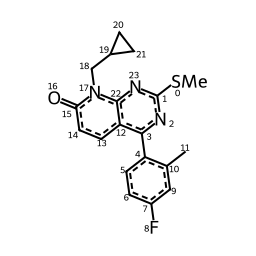 CSc1nc(-c2ccc(F)cc2C)c2ccc(=O)n(CC3CC3)c2n1